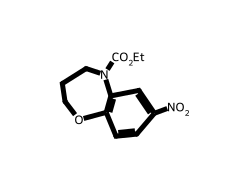 CCOC(=O)N1CCCOc2ccc([N+](=O)[O-])cc21